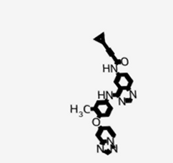 Cc1cc(Nc2ncnc3ccc(NC(=O)C#CC4CC4)cc23)ccc1Oc1ccn2ncnc2c1